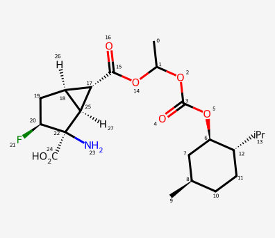 CC(OC(=O)O[C@@H]1C[C@H](C)CC[C@H]1C(C)C)OC(=O)[C@H]1[C@@H]2C[C@H](F)[C@@](N)(C(=O)O)[C@@H]21